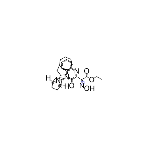 CCOC(=O)/C(=N\O)c1nc2ccccc2n([C@@H]2C[C@@H]3CC[C@H]2N3C2CC3CCCCC(C3)C2)c1=O